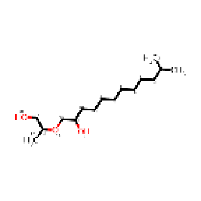 CC(C)CCCCCCCCC(O)COC(C)CO